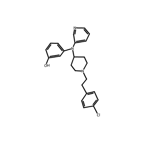 Oc1cccc(N(c2cccnc2)C2CCN(CCc3ccc(Cl)cc3)CC2)c1